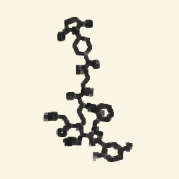 CC(C)(C)[C@H](c1nc(-c2cc(F)ccc2F)cn1Cc1ccccc1)N(CC[C@H](N)C(=O)NCCNC(=O)C1CCC(N2C(=O)C=CC2=O)CC1)C(=O)CO